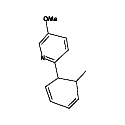 COc1ccc(C2C=CC=CC2C)nc1